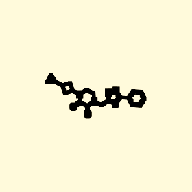 O=C1C(=O)N(C2CC(C3CC3)C2)CCN1Cc1nnc(-c2ccccc2)s1